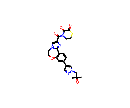 CC(C)(O)Cn1cc(-c2ccc3c(c2)OCCn2cc(C(=O)N4CCSC(=O)C4=O)nc2-3)cn1